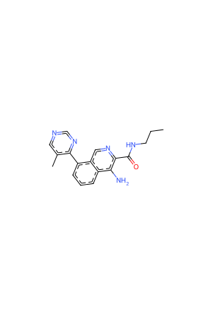 CCCNC(=O)c1ncc2c(-c3ncncc3C)cccc2c1N